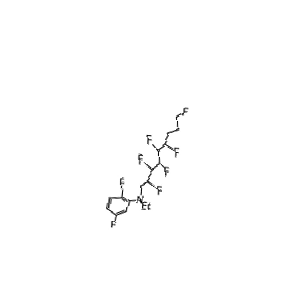 CCN(CC(F)C(F)C(F)C(F)C(F)CCCF)c1cc(F)ccc1F